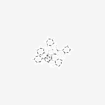 Clc1ccccc1C1=NC(CC2(c3ccccc3)N=C(c3ccccc3Cl)N=C2c2ccccc2)(c2ccccc2)C(c2ccccc2)=N1